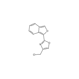 ClCc1coc(-c2occ3ccccc23)n1